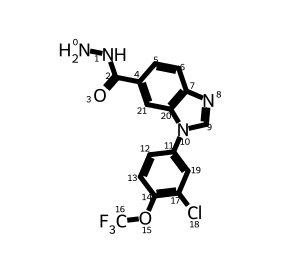 NNC(=O)c1ccc2ncn(-c3ccc(OC(F)(F)F)c(Cl)c3)c2c1